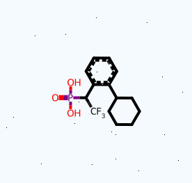 O=P(O)(O)C(c1ccccc1C1CCCCC1)C(F)(F)F